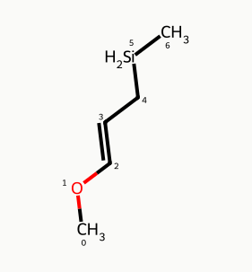 COC=CC[SiH2]C